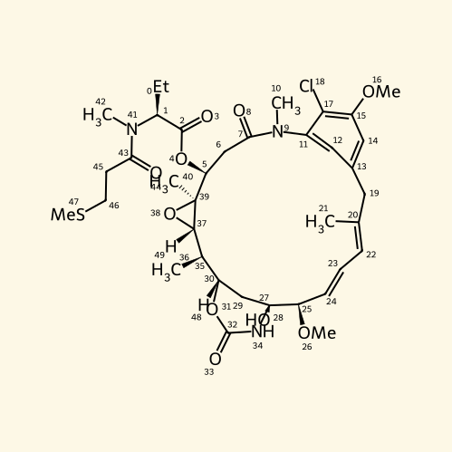 CC[C@@H](C(=O)O[C@H]1CC(=O)N(C)c2cc(cc(OC)c2Cl)C/C(C)=C/C=C/[C@@H](OC)[C@@]2(O)C[C@H](OC(=O)N2)[C@@H](C)[C@@H]2O[C@@]12C)N(C)C(=O)CCSC